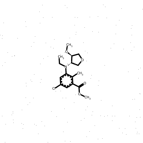 CCN(c1cc(Cl)cc(C(=O)OC)c1C)[C@H]1COC[C@@H]1OC